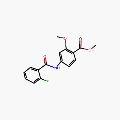 COC(=O)c1ccc(NC(=O)c2ccccc2F)cc1OC